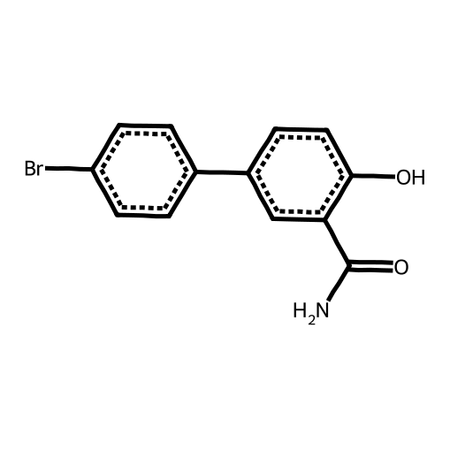 NC(=O)c1cc(-c2ccc(Br)cc2)ccc1O